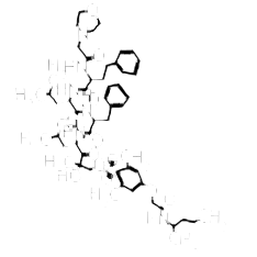 CCCC(C)NC(=O)COc1cc(C)c(S(=O)(=O)OCC(C)(O)C(=O)[C@H](CC(C)C)NC(=O)[C@H](Cc2ccccc2)NC(=O)[C@H](CC(C)C)NC(=O)[C@H](CCc2ccccc2)NC(=O)CN2CCOCC2)c(C)c1